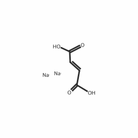 O=C(O)C=CC(=O)O.[Na].[Na]